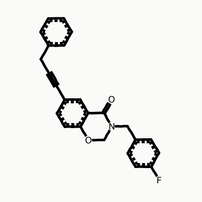 O=C1c2cc(C#CCc3ccccc3)ccc2OCN1Cc1ccc(F)cc1